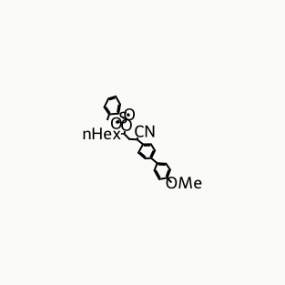 CCCCCC[C@H](CC(C#N)c1ccc(-c2ccc(OC)cc2)cc1)OS(=O)(=O)c1ccccc1C